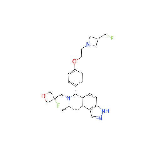 C[C@@H]1Cc2c(ccc3[nH]ncc23)[C@@H](c2ccc(OCCN3CC(CF)C3)cc2)N1CC1(F)COC1